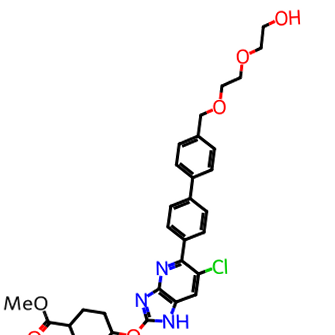 COC(=O)C1CCC(Oc2nc3nc(-c4ccc(-c5ccc(COCCOCCO)cc5)cc4)c(Cl)cc3[nH]2)CC1